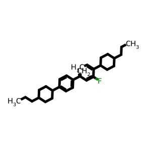 C=C(/C=C(F)\C(=C/C)C1CCC(CCC)CC1)c1ccc(C2CCC(CCC)CC2)cc1